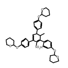 CC1C(c2ccc(OC3CCCCO3)cc2)=C(S(=O)(=O)O)C(c2ccc(OC3CCCCO3)cc2)=CC1c1ccc(OC2CCCCO2)cc1